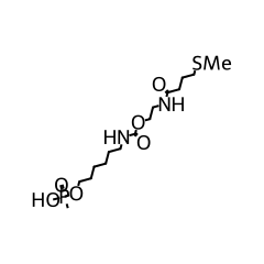 CSCCCC(=O)NCCOC(=O)NCCCCCCOP(C)(=O)O